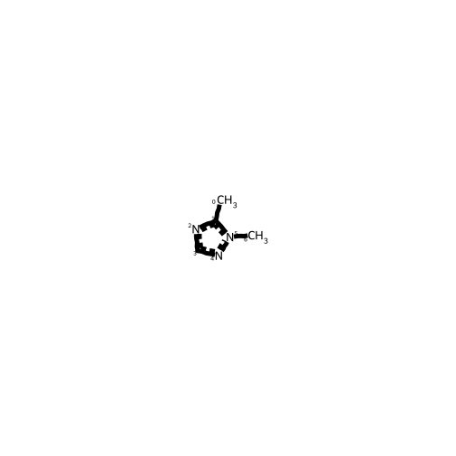 Cc1ncnn1C